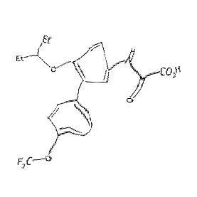 CCC(CC)Oc1ccc(NC(=O)C(=O)O)cc1-c1ccc(OC(F)(F)F)cc1